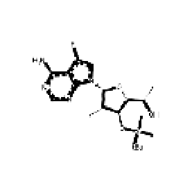 C[C@H]1[C@H](O[Si](C)(C)C(C)(C)C)[C@@H]([C@H](C)O)O[C@H]1n1cc(F)c2c(N)ncnc21